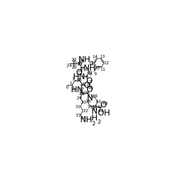 CC(C)C[C@@H](NC(=O)[C@@H](Cc1ccccc1)NC(=O)[C@H](N)C(C)(C)C)C(=O)N[C@H](CCCCCN)C(=O)N1CCC(N)(C(=O)O)CC1